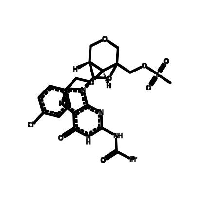 CC(C)C(=O)Nc1nc2c(ncn2[C@@H]2OC3(COS(C)(=O)=O)COC[C@@H]2[C@@H]3OCc2ccc(Cl)cc2)c(=O)[nH]1